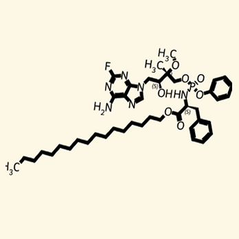 CCCCCCCCCCCCCCCCCOC(=O)[C@H](Cc1ccccc1)NP(=O)(OC[C@@](C)(OC)[C@@H](O)Cn1cnc2c(N)nc(F)nc21)Oc1ccccc1